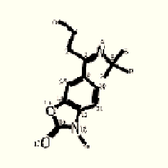 CCC/C(=N/C(C)(C)C)c1ccc2c(c1)oc(=O)n2C